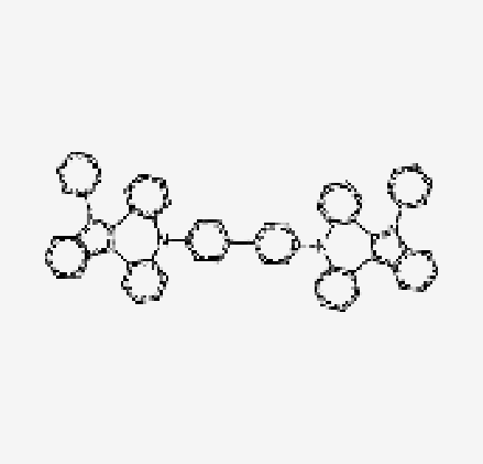 c1ccc(-n2c3c(c4ccccc42)-c2ccccc2N(c2ccc(-c4ccc(N5c6ccccc6-c6c(n(-c7ccccc7)c7ccccc67)-c6ccccc65)cc4)cc2)c2ccccc2-3)cc1